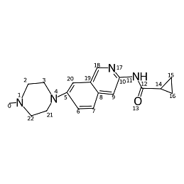 CN1CCN(c2ccc3cc(NC(=O)C4CC4)ncc3c2)CC1